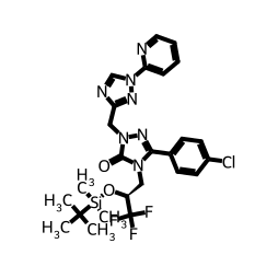 CC(C)(C)[Si](C)(C)O[C@@H](Cn1c(-c2ccc(Cl)cc2)nn(Cc2ncn(-c3ccccn3)n2)c1=O)C(F)(F)F